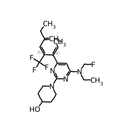 C=C(/C=C(\C(=C/C)c1cc(N(CC)CF)nc(N2CCC(O)CC2)n1)C(F)(F)F)CC